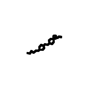 C=CCOC1CCC(CCC2CCC(/C=C/CCCC)CC2)CC1